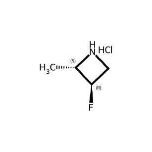 C[C@@H]1NC[C@H]1F.Cl